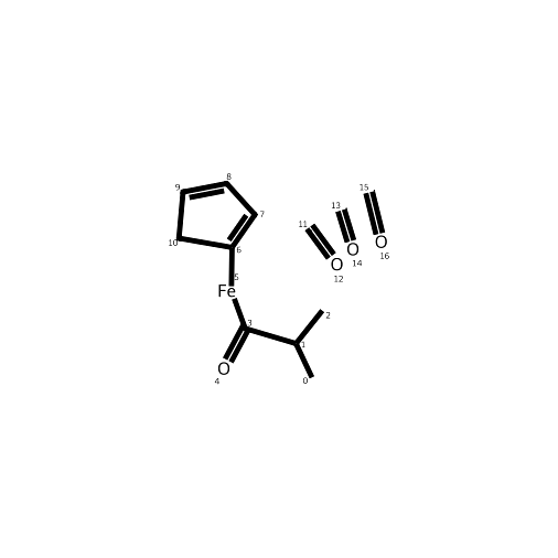 CC(C)[C](=O)[Fe][C]1=CC=CC1.[C]=O.[C]=O.[C]=O